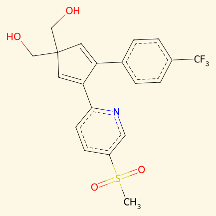 CS(=O)(=O)c1ccc(C2=CC(CO)(CO)C=C2c2ccc(C(F)(F)F)cc2)nc1